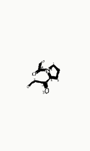 CCC(=O)[C@@H]1CCCN1C(C)=O